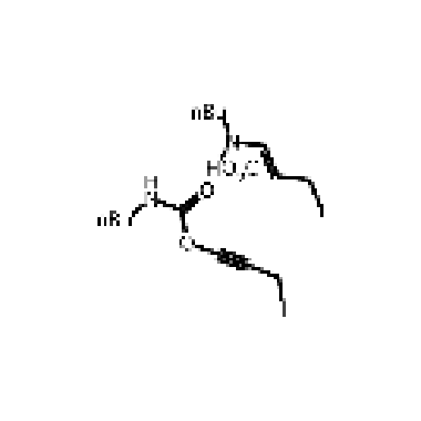 CCCCN(C=CCI)C(=O)O.CCCCNC(=O)OC#CCI